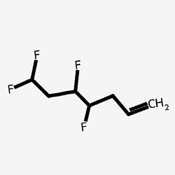 C=CCC(F)C(F)CC(F)F